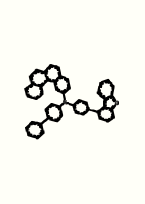 c1ccc(-c2ccc(N(c3ccc(-c4cccc5oc6ccccc6c45)cc3)c3ccc4ccc5ccc6ccccc6c5c4c3)cc2)cc1